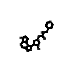 CC[C@@H]1C[C@H](OC(=O)NCc2ccncc2)CC1c1nnc2cnc3[nH]ccc3n12